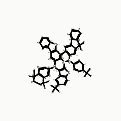 CC(C)(C)c1ccc(N2B3c4sc5ccc(C(C)(C)C)cc5c4N(c4ccc5c(c4)C(C)(C)CCC5(C)C)c4cc5c(oc6ccccc65)c(c43)-c3cc4c(cc32)C(C)(C)c2ccccc2-4)cc1